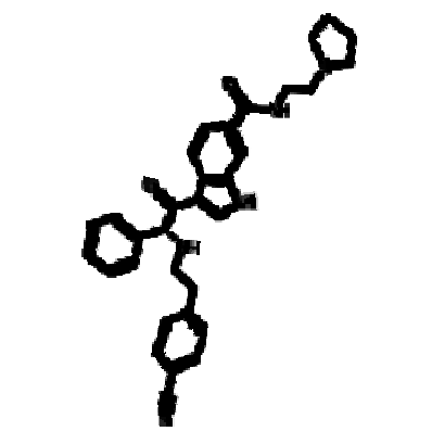 N#Cc1ccc(CCN[C@@H](C(=O)c2c[nH]c3cc(C(=O)NCCN4CCCC4)ccc23)c2ccccc2)cc1